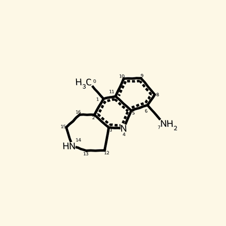 Cc1c2c(nc3c(N)cccc13)CCNCC2